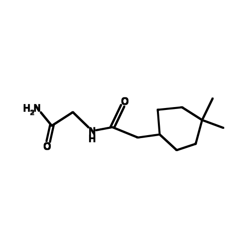 CC1(C)CCC(CC(=O)NCC(N)=O)CC1